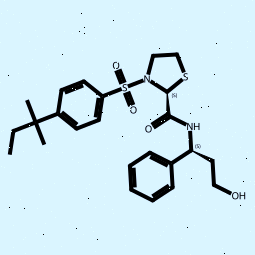 CCC(C)(C)c1ccc(S(=O)(=O)N2CCS[C@H]2C(=O)N[C@@H](CCO)c2ccccc2)cc1